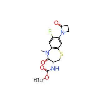 CN1C(=O)[C@@H](NC(=O)OC(C)(C)C)CSc2cc(N3CCC3=O)c(F)cc21